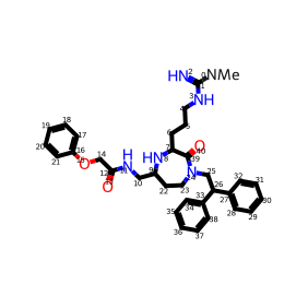 CNC(=N)NCCCC1NC(CNC(=O)COc2ccccc2)CCN(CC(c2ccccc2)c2ccccc2)C1=O